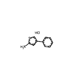 Cl.Nc1cc(-c2ccccc2)cs1